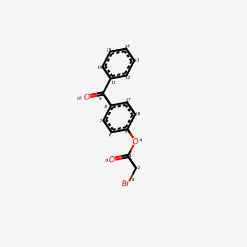 O=C(CBr)Oc1ccc(C(=O)c2ccccc2)cc1